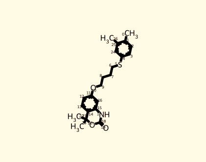 Cc1ccc(SCCCCOc2ccc3c(c2)NC(=O)OC3(C)C)cc1C